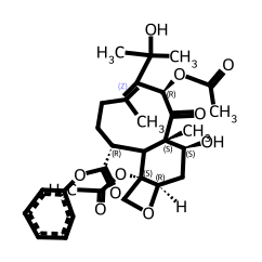 CC(=O)O[C@H]1C(=O)[C@@]2(C)C([C@H](C(=O)Oc3ccccc3)CC/C(C)=C/1C(C)(C)O)[C@]1(OC(C)=O)CO[C@@H]1C[C@@H]2O